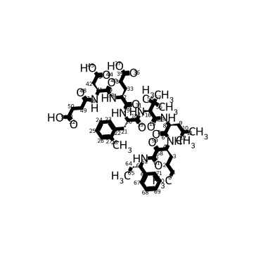 CCCC[C@H](NC(=O)[C@H](CC(C)C)NC(=O)[C@@H](NC(=O)[C@H](Cc1ccccc1C)NC(=O)[C@H](CCC(=O)O)NC(=O)[C@H](CC(=O)O)NC(=O)CCC(=O)O)C(C)(C)C)C(=O)C(=O)N[C@@H](CC)c1ccccc1